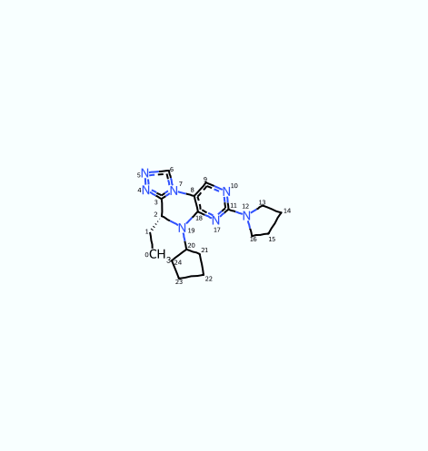 CC[C@@H]1c2nncn2-c2cnc(N3CCCC3)nc2N1C1CCCC1